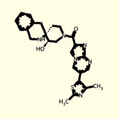 Cc1nc(C)c(-c2cnc3nc(C(=O)N4CC[C@]5(Cc6ccccc6CN5)[C@H](O)C4)cn3c2)s1